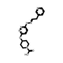 O=C(O)N1CCC(Oc2ccc(ON=CCc3cccnc3)nn2)CC1